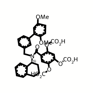 COc1ccc(OC)c(-c2cccc(CN(C(=O)c3cc(OC(=O)O)c(OC(=O)O)cc3OC(=O)O)[C@H]3CCCc4ccccc43)c2)c1